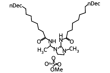 CCCCCCCCCCCCCCCCCC(=O)NC1=[N+](C(C)NC(=O)CCCCCCCCCCCCCCCCC)CCN1C.COS(=O)(=O)[O-]